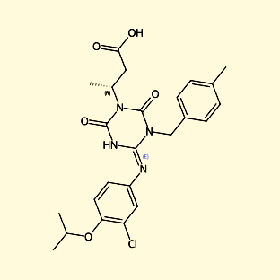 Cc1ccc(Cn2c(=O)n([C@H](C)CC(=O)O)c(=O)[nH]/c2=N\c2ccc(OC(C)C)c(Cl)c2)cc1